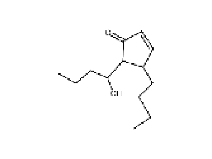 CCCCC1C=CC(=O)C1C(O)CCC